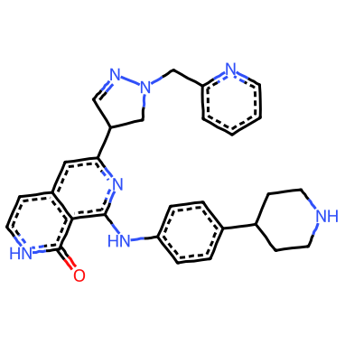 O=c1[nH]ccc2cc(C3C=NN(Cc4ccccn4)C3)nc(Nc3ccc(C4CCNCC4)cc3)c12